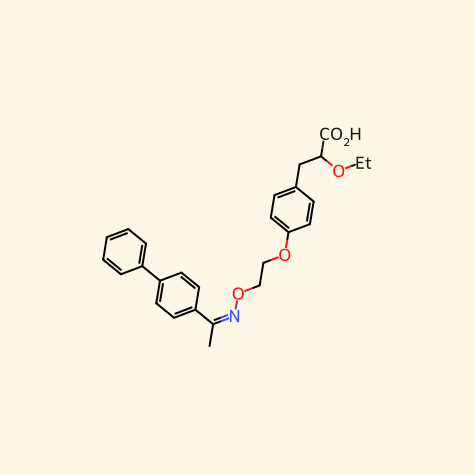 CCOC(Cc1ccc(OCCO/N=C(/C)c2ccc(-c3ccccc3)cc2)cc1)C(=O)O